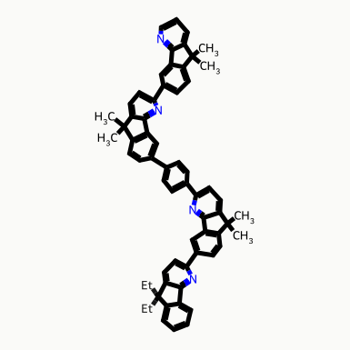 CCC1(CC)c2ccccc2-c2nc(-c3ccc4c(c3)-c3nc(-c5ccc(-c6ccc7c(c6)-c6nc(-c8ccc9c(c8)-c8ncccc8C9(C)C)ccc6C7(C)C)cc5)ccc3C4(C)C)ccc21